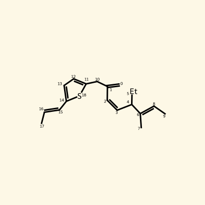 C=C(/C=C\C(CC)/C(C)=C/C)Cc1ccc(/C=C/C)s1